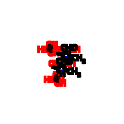 Cc1ncc(CO)c(C=O)c1O.Cc1ncc(CO)c(C=O)c1O.O=P(O)(O)O.O=P(O)(O)O